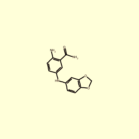 NC(=O)c1cc(Nc2ccc3c(c2)OCO3)ccc1N